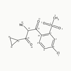 CS(=O)(=O)c1cc(Cl)ccc1C(=O)C(C#N)C(=O)C1CC1